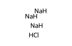 Cl.[NaH].[NaH].[NaH]